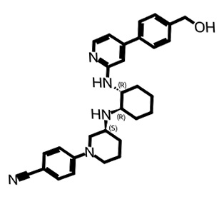 N#Cc1ccc(N2CCC[C@H](N[C@@H]3CCCC[C@H]3Nc3cc(-c4ccc(CO)cc4)ccn3)C2)cc1